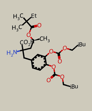 CCC(C)COC(=O)Oc1ccc(CC(N)(C[C@H](C)OC(=O)C(C)(C)CC)C(=O)O)cc1OC(=O)OCC(C)CC